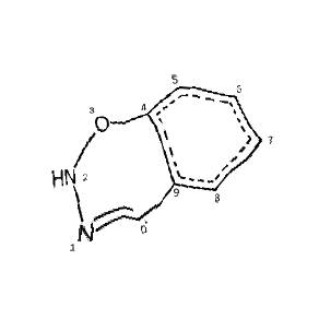 [C]1=NNOc2ccccc21